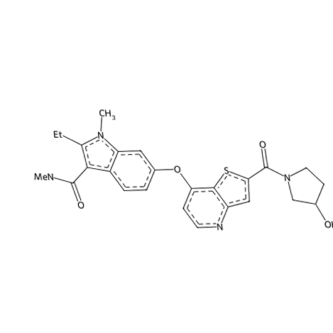 CCc1c(C(=O)NC)c2ccc(Oc3ccnc4cc(C(=O)N5CCC(O)C5)sc34)cc2n1C